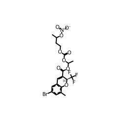 Cc1cc(Br)cc2c1O[C@H](C(F)(F)F)C(C(=O)OC(C)OC(=O)OCCC(C)O[N+](=O)[O-])=C2